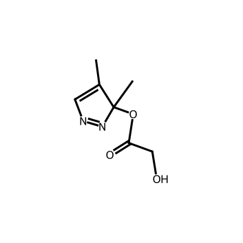 CC1=CN=NC1(C)OC(=O)CO